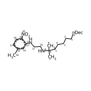 CCCCCCCCCCCCCCCC(C)(C)NCCNc1cc(C)ccc1[N+](=O)[O-]